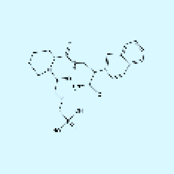 NC(=O)C(CNC(=O)C1CCCCN1C(=O)CSCP(=O)(O)O)c1ccc2ccccc2c1